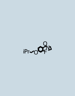 CC(C)CCOc1ccc(C(=O)N2CCC2)c(F)c1